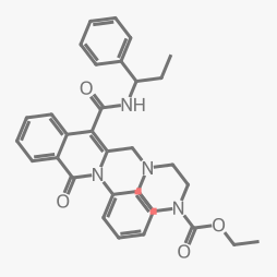 CCOC(=O)N1CCN(Cc2c(C(=O)NC(CC)c3ccccc3)c3ccccc3c(=O)n2-c2ccccc2)CC1